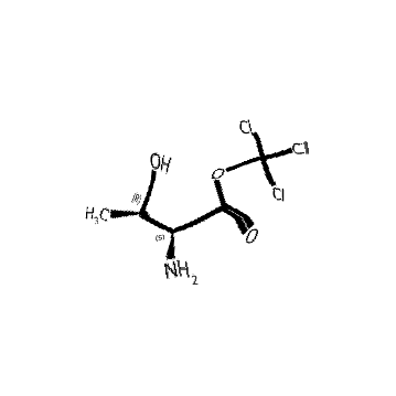 C[C@@H](O)[C@H](N)C(=O)OC(Cl)(Cl)Cl